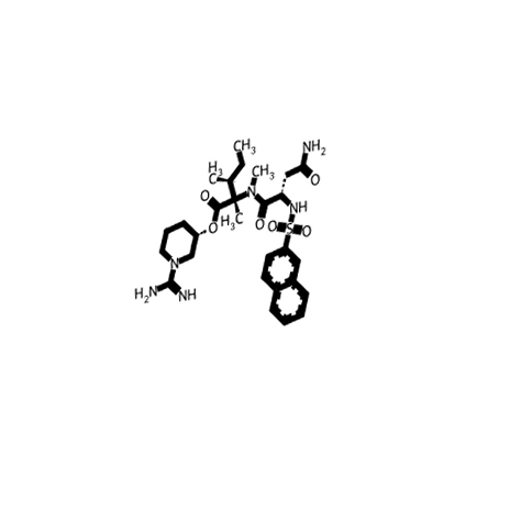 CC[C@H](C)[C@@](C)(C(=O)O[C@H]1CCCN(C(=N)N)C1)N(C)C(=O)[C@H](CC(N)=O)NS(=O)(=O)c1ccc2ccccc2c1